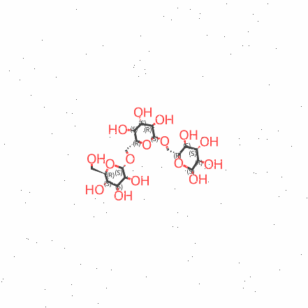 OC[C@H]1O[C@H](OC[C@H]2O[C@H](OC[C@H]3O[C@H](O)[C@H](O)[C@@H](O)[C@@H]3O)[C@H](O)[C@@H](O)[C@@H]2O)C(O)[C@@H](O)[C@@H]1O